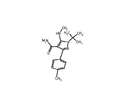 CNc1c(C(N)=O)c(-c2ccc(C)cc2)nn1C(C)(C)C